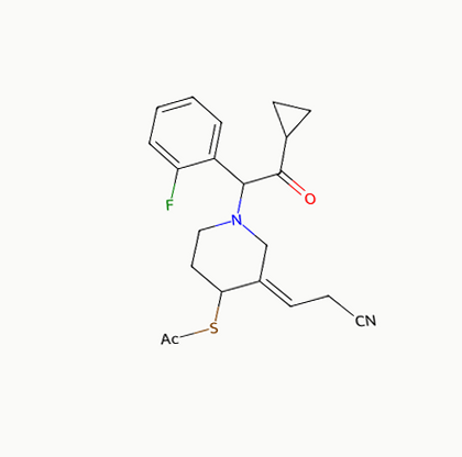 CC(=O)SC1CCN(C(C(=O)C2CC2)c2ccccc2F)CC1=CCC#N